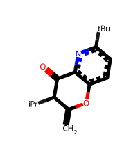 C=C1Oc2ccc(C(C)(C)C)nc2C(=O)C1C(C)C